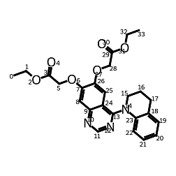 CCOC(=O)COc1cc2ncnc(N3CCCc4ccccc43)c2cc1OCC(=O)OCC